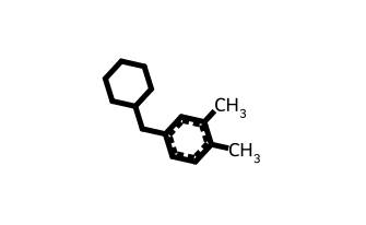 Cc1ccc(CC2CCCCC2)cc1C